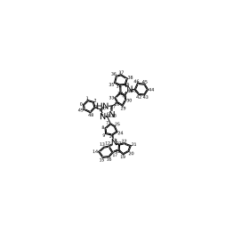 c1ccc(C2N=C(c3ccc(-n4c5ccccc5c5ccccc54)cc3)N=C(c3ccc4c(c3)c3ccccc3n4-c3ccccc3)N2)cc1